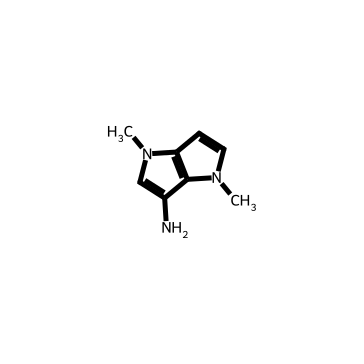 Cn1cc(N)c2c1ccn2C